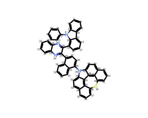 c1ccc(-n2c3ccccc3c3cccc(-c4nc5ccccc5nc4-c4ccc(-n5c6ccc7cccc8sc9cccc%10ccc5c(c%109)c6c78)c5ccccc45)c32)cc1